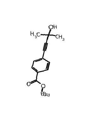 CC(C)(O)C#Cc1ccc(C(=O)OC(C)(C)C)cc1